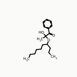 CCCCCCC(CCC)OC(C)(O)C(=O)c1ccccc1